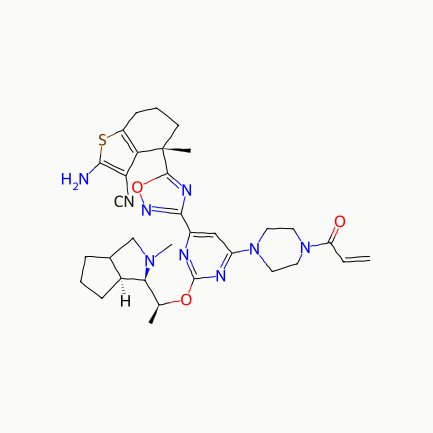 C=CC(=O)N1CCN(c2cc(-c3noc([C@@]4(C)CCCc5sc(N)c(C#N)c54)n3)nc(O[C@@H](C)[C@H]3[C@H]4CCCC4CN3C)n2)CC1